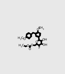 CCOC(=O)OCC1OC(c2ccc(OC)c(Cc3ccc(OC)cc3)c2)C(O)C(O)C1F